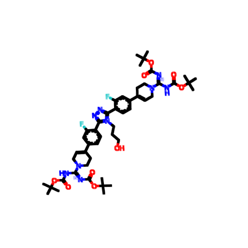 CC(C)(C)OC(=O)/N=C(/NC(=O)OC(C)(C)C)N1CC=C(c2ccc(-c3nnc(-c4ccc(C5=CCN(/C(=N\C(=O)OC(C)(C)C)NC(=O)OC(C)(C)C)CC5)cc4F)n3CCCO)c(F)c2)CC1